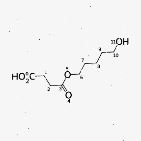 O=C(O)CCC(=O)OCCCCCO